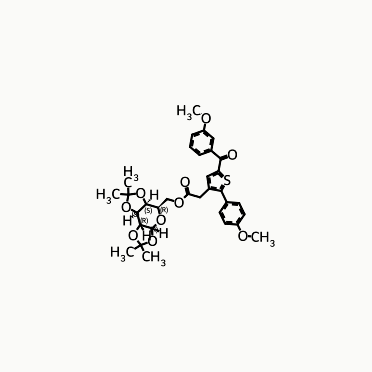 COc1ccc(-c2sc(C(=O)c3cccc(OC)c3)cc2CC(=O)OC[C@H]2O[C@@H]3OC(C)(C)O[C@@H]3[C@H]3OC(C)(C)O[C@H]32)cc1